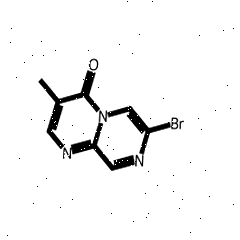 Cc1cnc2cnc(Br)cn2c1=O